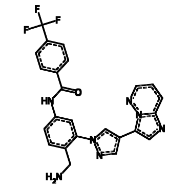 NCc1ccc(NC(=O)c2ccc(C(F)(F)F)cc2)cc1-n1cc(-c2cnc3cccnn23)cn1